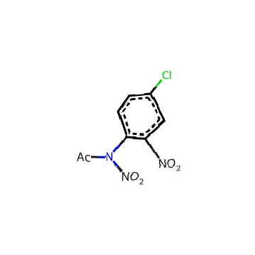 CC(=O)N(c1ccc(Cl)cc1[N+](=O)[O-])[N+](=O)[O-]